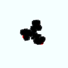 CCc1cc(N(c2ccc3c(c2)C(C)(C)c2cc(-c4cccc5ccccc45)c4oc5ccccc5c4c2-3)c2ccc3c(c2)C(C)(C)c2c4c(c5oc6ccccc6c5c2-3)-c2ccccc2C4(C)C)ccc1-c1cc2c(cc1CC)-c1c(ccc3oc4ccccc4c13)C2(C)C